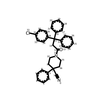 N#CC1(c2ccccc2)CCN(C(=O)CC(c2ccccc2)(c2ccccc2)c2ccc(Cl)cc2)CC1